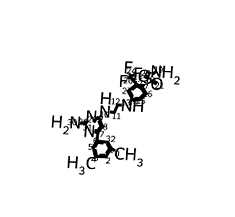 Cc1cc(C)cc(-c2cc(NCCNc3ccc(S(N)(=O)=O)c(C(F)(F)F)c3)nc(N)n2)c1